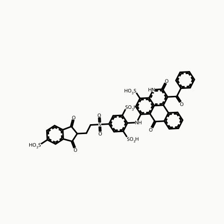 O=C(c1ccccc1)c1c2c3c(c(Nc4c(S(=O)(=O)O)cc(S(=O)(=O)CCC5C(=O)c6ccc(S(=O)(=O)O)cc6C5=O)cc4S(=O)(=O)O)cc(S(=O)(=O)O)c3[nH]c1=O)C(=O)c1ccccc1-2